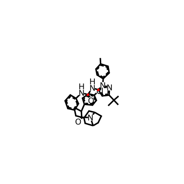 Cc1ccc(-n2nc(C(C)(C)C)cc2NC(=O)Nc2cccc(CC3CC4CCC(C3)N4C(=O)C(C)c3ccc(Cl)cc3)c2)cc1